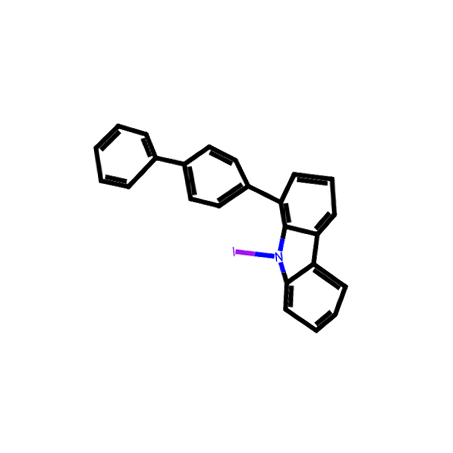 In1c2ccccc2c2cccc(-c3ccc(-c4ccccc4)cc3)c21